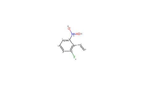 C=Cc1c(F)cccc1[N+](=O)[O-]